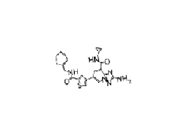 Nc1nc2c(C(=O)NC3CC3)cc(-c3csc(C(=O)NCc4ccccc4)c3)cn2n1